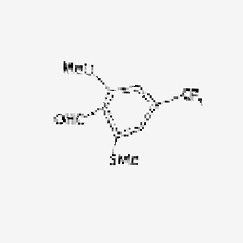 COc1cc(C(F)(F)F)cc(SC)c1C=O